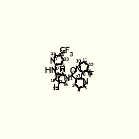 O=C(c1cccnc1-c1ncccc1F)N1C[C@H]2C[C@@H](Nc3ccc(C(F)(F)F)cn3)[C@@H]1C2